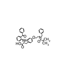 C=C(C)C(=O)N(CCOc1ccc(CC(Nc2ccccc2C(=O)c2ccccc2)C(=O)O)cc1)Cc1ccccc1